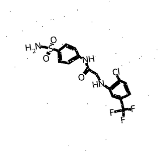 NS(=O)(=O)c1ccc(NC(=O)CNc2cc(C(F)(F)F)ccc2Cl)cc1